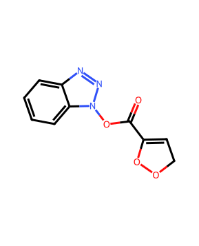 O=C(On1nnc2ccccc21)C1=CCOO1